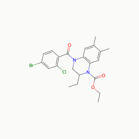 CCOC(=O)N1c2cc(C)c(C)cc2N(C(=O)c2ccc(Br)cc2Cl)CC1CC